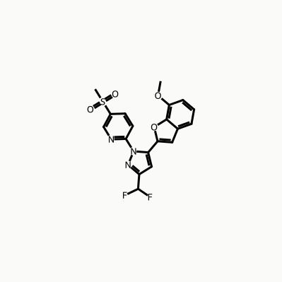 COc1cccc2cc(-c3cc(C(F)F)nn3-c3ccc(S(C)(=O)=O)cn3)oc12